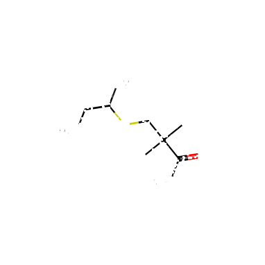 COCC(OC)SCC(C)(C)C(=O)OC